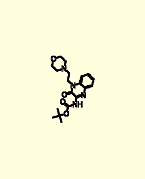 CC(C)(C)OC(=O)Nc1nc2ccccc2n(CCN2CCOCC2)c1=O